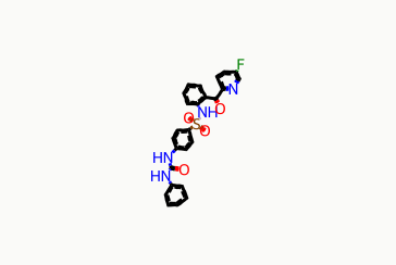 O=C(Nc1ccccc1)Nc1ccc(S(=O)(=O)Nc2ccccc2C(=O)c2ccc(F)cn2)cc1